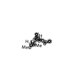 COc1ccc(N(C)C(=O)CCC(CC2(C(=O)N[C@H]3CC[C@@H](C(=O)OCc4ccccc4)CC3)CCCC2)C(=O)OCc2ccccc2)c(OC)c1